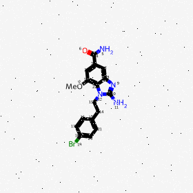 COc1cc(C(N)=O)cc2nc(N)n(CCc3ccc(Br)cc3)c12